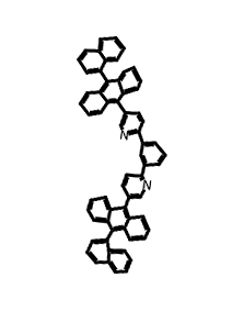 c1cc(-c2ccc(-c3c4ccccc4c(-c4cccc5ccccc45)c4ccccc34)cn2)cc(-c2ccc(-c3c4ccccc4c(-c4cccc5ccccc45)c4ccccc34)cn2)c1